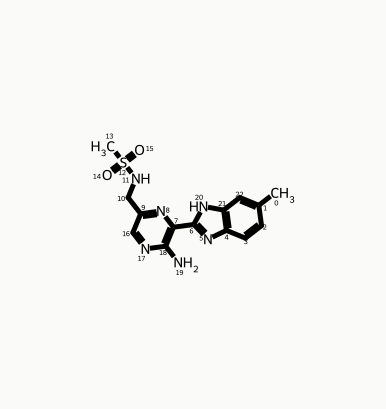 Cc1ccc2nc(-c3nc(CNS(C)(=O)=O)cnc3N)[nH]c2c1